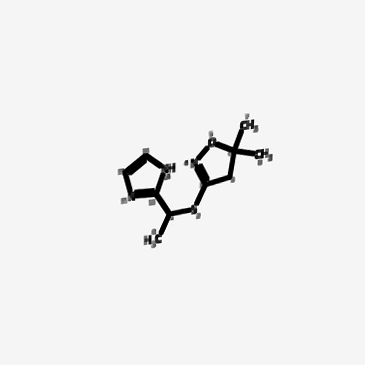 CC(SC1=NOC(C)(C)C1)c1ncc[nH]1